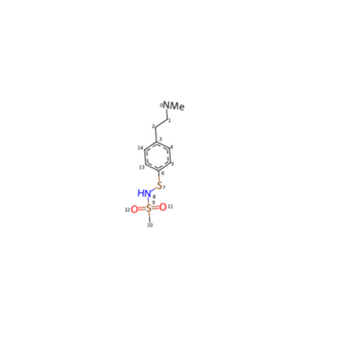 CNCCc1ccc(SNS(C)(=O)=O)cc1